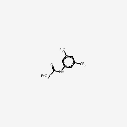 CCOC(=O)C(=O)Nc1cc(C(F)(F)F)cc(C(F)(F)F)c1